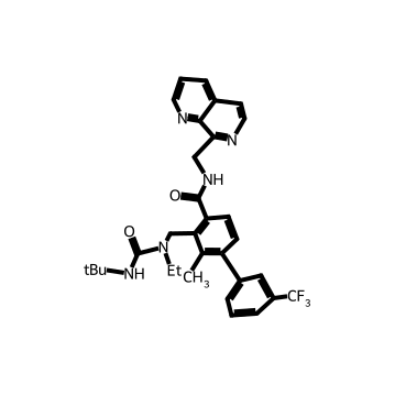 CCN(Cc1c(C(=O)NCc2nccc3cccnc23)ccc(-c2cccc(C(F)(F)F)c2)c1C)C(=O)NC(C)(C)C